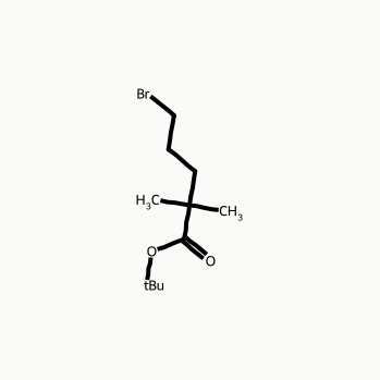 CC(C)(C)OC(=O)C(C)(C)CCCBr